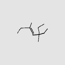 CCC(C)=CC(C)(CC)CC